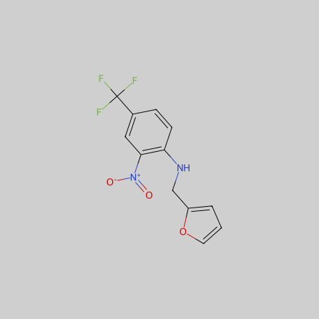 O=[N+]([O-])c1cc(C(F)(F)F)ccc1NCc1ccco1